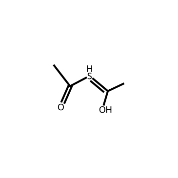 CC(=O)[SH]=C(C)O